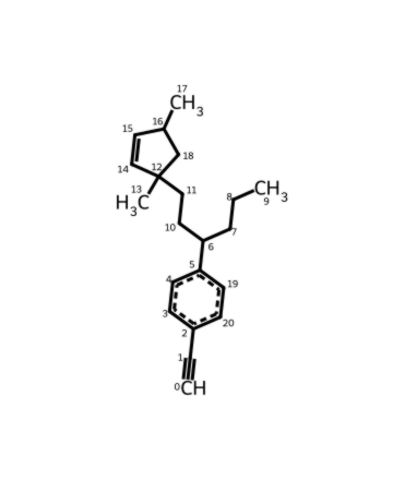 C#Cc1ccc(C(CCC)CCC2(C)C=CC(C)C2)cc1